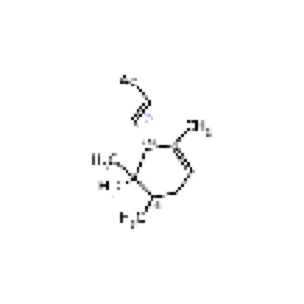 CC(=O)/C=C/[C@@H]1C(C)=CC[C@@H](C)C1(C)C